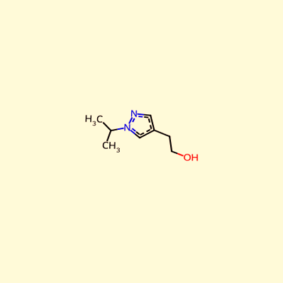 CC(C)n1cc(CCO)cn1